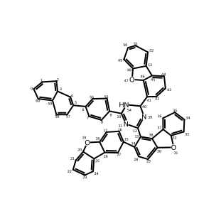 c1ccc2cc(-c3ccc(C4=NC(c5c(-c6ccc7oc8ccccc8c7c6)ccc6oc7ccccc7c56)=NC(c5cccc6c5oc5ccccc56)N4)cc3)ccc2c1